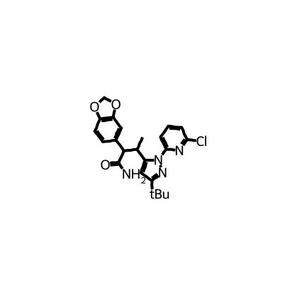 CC(c1cc(C(C)(C)C)nn1-c1cccc(Cl)n1)C(C(N)=O)c1ccc2c(c1)OCO2